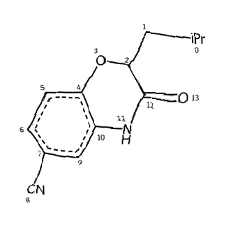 CC(C)CC1Oc2ccc(C#N)cc2NC1=O